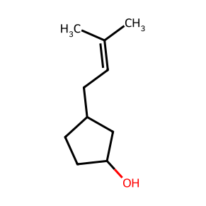 CC(C)=CCC1CCC(O)C1